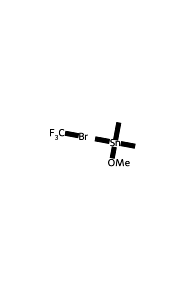 C[O][Sn]([CH3])([CH3])[CH3].FC(F)(F)Br